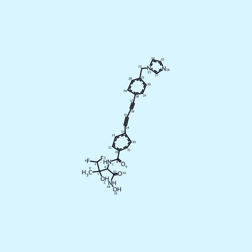 CC(O)(C(F)F)C(NC(=O)c1ccc(C#CC#Cc2ccc(Cn3ccnc3)cc2)cc1)C(=O)NO